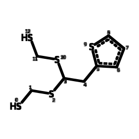 SCSC(Cc1cccs1)SCS